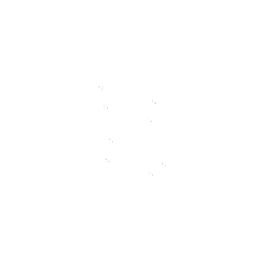 Cc1nnc(-c2nnc(C)c3snnc23)c2snnc12